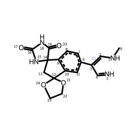 CN/C=C(\C=N)c1ccc2c(c1)C1(CC23NC(=O)NC3=O)OCCO1